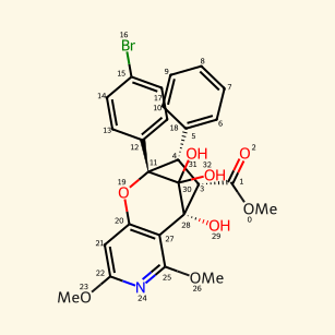 COC(=O)[C@H]1[C@@H](c2ccccc2)[C@@]2(c3ccc(Br)cc3)Oc3cc(OC)nc(OC)c3[C@@]1(O)C2(O)O